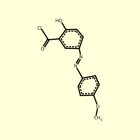 COc1ccc(/N=N/c2ccc(O)c(C(=O)Cl)c2)cc1